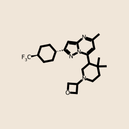 Cc1cc(C2CN(C3COC3)CCC2(C)C)n2nc([C@H]3CC[C@H](C(F)(F)F)CC3)cc2n1